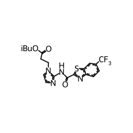 CC(C)COC(=O)CCn1ccnc1NC(=O)c1nc2ccc(C(F)(F)F)cc2s1